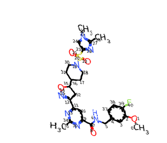 COc1cc(CNC(=O)c2cc(C3=NOC(C4CCN(S(=O)(=O)c5cn(C)c(C)n5)CC4)C3)nc(C)n2)ccc1F